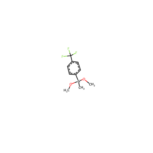 CO[Si](C)(OC)c1ccc(C(F)(F)F)cc1